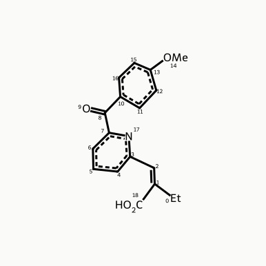 CCC(=Cc1cccc(C(=O)c2ccc(OC)cc2)n1)C(=O)O